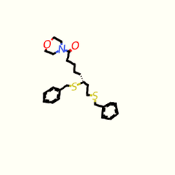 O=C(CCCC[C@H](CCSCc1ccccc1)SCc1ccccc1)N1CCOCC1